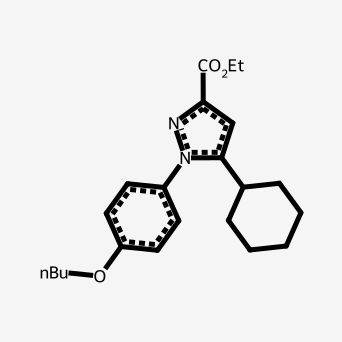 CCCCOc1ccc(-n2nc(C(=O)OCC)cc2C2CCCCC2)cc1